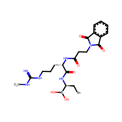 CC(C)C[C@H](NC(=O)[C@H](CCCNC(=N)N[N+](=O)[O-])NC(=O)CCN1C(=O)c2ccccc2C1=O)B(O)O